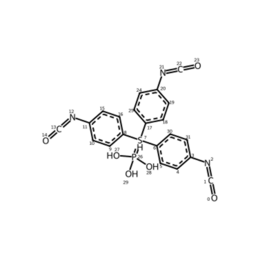 O=C=Nc1ccc([SH](c2ccc(N=C=O)cc2)(c2ccc(N=C=O)cc2)=P(O)(O)O)cc1